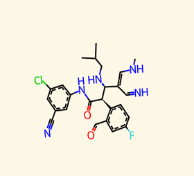 CN/C=C(\C=N)[C@H](NCC(C)C)[C@H](C(=O)Nc1cc(Cl)cc(C#N)c1)c1ccc(F)cc1C=O